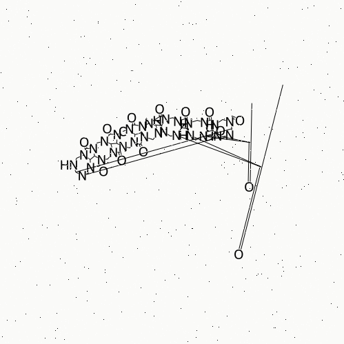 O=CN1CN2C(=O)N3CN4C(=O)N5CN6C(=O)N7C8[C@H]6N6CN9C(=O)N(CN%10C(=O)N(CN%11C(=O)N%12CN%13C(=O)N%14CN%15C(=O)N%16CN%17C(=O)N(CN86)C6C%17N(CN8C(=O)N(CN%17C(=O)N(CNC%12C1%11)C%13C%17%14)C%15C%168)C(=O)N67)[C@@H]2[C@@H]3%10)[C@@H]4[C@@H]59